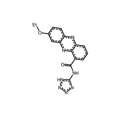 CCOc1ccc2nc3cccc(C(=O)Nc4nnn[nH]4)c3nc2c1